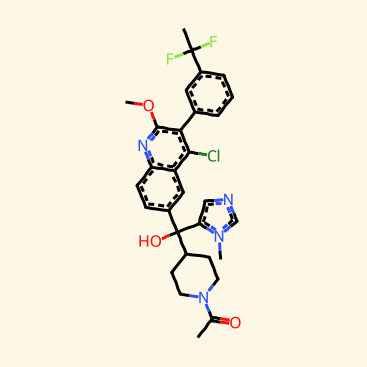 COc1nc2ccc(C(O)(c3cncn3C)C3CCN(C(C)=O)CC3)cc2c(Cl)c1-c1cccc(C(C)(F)F)c1